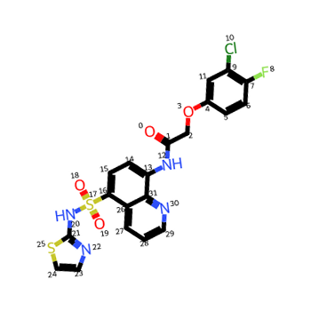 O=C(COc1ccc(F)c(Cl)c1)Nc1ccc(S(=O)(=O)Nc2nccs2)c2cccnc12